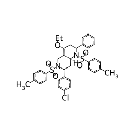 CCOC1=C2CN(S(=O)(=O)c3ccc(C)cc3)C(c3ccc(Cl)cc3)C[C@@H]2N(S(=O)(=O)c2ccc(C)cc2)C(c2ccccc2)C1